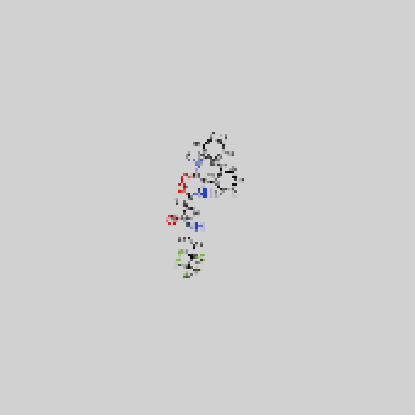 CN1C(=O)[C@@H](NC(=O)C(C)(C)C(=O)NCCC(F)(F)C(F)(F)F)c2ccccc2-c2ccccc21